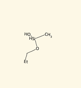 CCCO[SiH](C)O